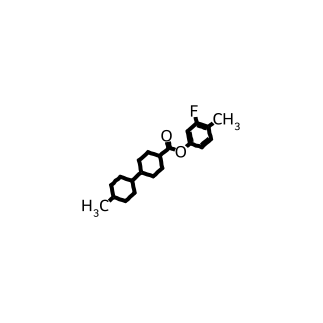 Cc1ccc(OC(=O)C2CCC(C3CCC(C)CC3)CC2)cc1F